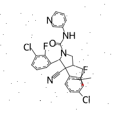 CC(C)(C)CC1CN(C(=O)Nc2cccnc2)C(c2cccc(Cl)c2F)C1(C#N)c1ccc(Cl)cc1F